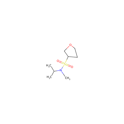 CC(C)N(C)S(=O)(=O)C1CCOC1